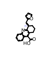 O=C(O)c1c2c(nc3ccccc13)/C(=C/c1ccco1)CCC2